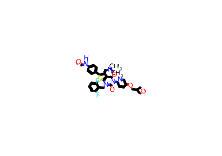 CN(C)Cc1c(-c2ccc(NC=O)cc2)sc2c1c(=O)n(-c1ccc(OCC3COC3)cn1)c(=O)n2Cc1c(F)cccc1F